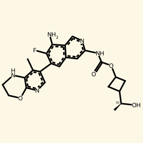 Cc1c(-c2cc3cc(NC(=O)OC4CC([C@H](C)O)C4)ncc3c(N)c2F)cnc2c1NCCO2